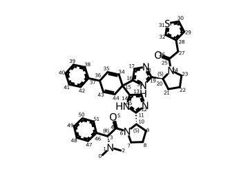 CN(C)[C@@H](C(=O)N1CCC[C@H]1c1ncc(C2(c3cnc([C@@H]4CCCN4C(=O)Cc4ccsc4)[nH]3)C=CC(c3ccccc3)C=C2)[nH]1)c1ccccc1